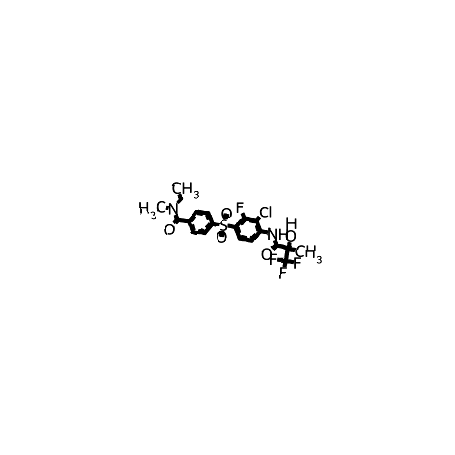 CCN(C)C(=O)c1ccc(S(=O)(=O)c2ccc(NC(=O)C(C)(O)C(F)(F)F)c(Cl)c2F)cc1